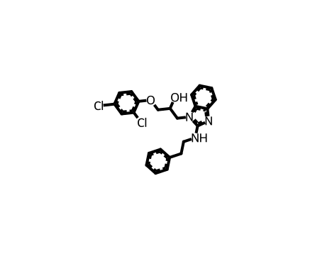 OC(COc1ccc(Cl)cc1Cl)Cn1c(NCCc2ccccc2)nc2ccccc21